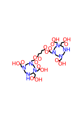 O=C(O)CC1CNCCN(CC(=O)O)CCN(CC(=O)OC(=O)CCCC(=O)OC(=O)CN2CCN(CC(=O)O)CCNCC(CC(=O)O)N(CC(=O)O)CC2)CCN1CC(=O)O